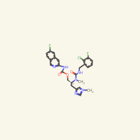 CN(C(=O)NCc1cccc(F)c1Cl)[C@H](COC(=O)Nc1cc2cc(F)ccc2cn1)Cc1cn(C)cn1